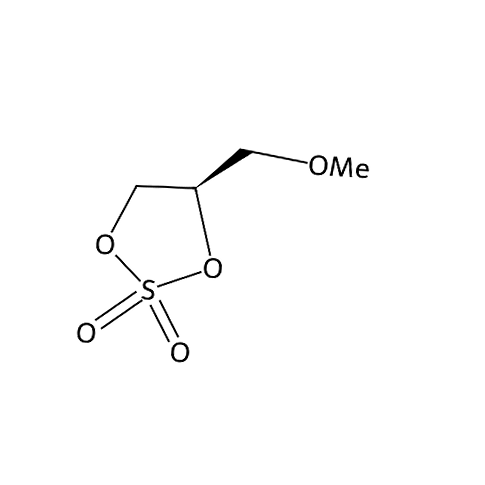 COC[C@@H]1COS(=O)(=O)O1